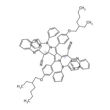 CCCCC(CC)COc1ccc(-c2c3/c(=C(\C#N)c4cnc5ccccc5n4)n(B(c4ccccc4)c4ccccc4)c(-c4ccc(OCC(CC)CCCC)cc4)c3/c(=C(\C#N)c3cnc4ccccc4n3)n2B(c2ccccc2)c2ccccc2)cc1